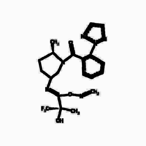 C=NO/C(=N\C1CC[C@@H](C)N(C(=O)c2ccccc2-n2nccn2)C1)[C@@](C)(O)C(F)(F)F